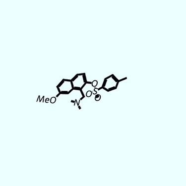 COc1ccc2ccc(OS(=O)(=O)c3ccc(C)cc3)c(CN(C)C)c2c1